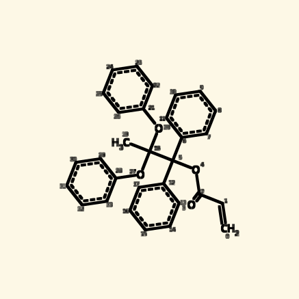 C=CC(=O)OC(c1ccccc1)(c1ccccc1)C(C)(Oc1ccccc1)Oc1ccccc1